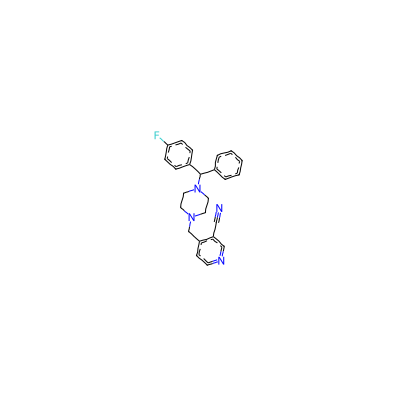 N#Cc1cnccc1CN1CCN(C(c2ccccc2)c2ccc(F)cc2)CC1